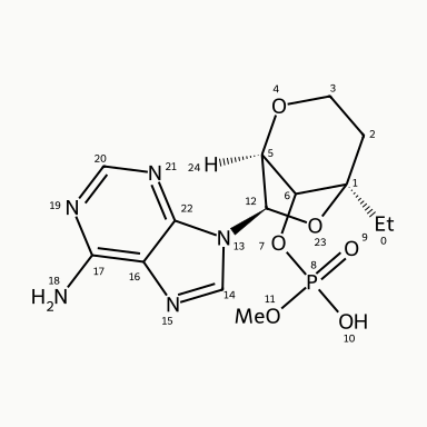 CC[C@@]12CCO[C@@H](C1OP(=O)(O)OC)[C@H](n1cnc3c(N)ncnc31)O2